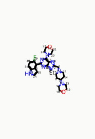 CCn1c(CN2CCC(N3CCOCC3)CC2)nc2c(N3CCOCC3)nc(-c3c(F)ccc4[nH]ccc34)nc21